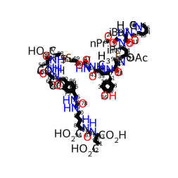 CCCC(=O)OCN(C(=O)[C@@H](NC(=O)[C@H]1CCCCN1C)C(C)CC)C(C[C@@H](OC(C)=O)c1nc(C(=O)N[C@@H](Cc2ccc(O)cc2)C[C@H](C)C(=O)NNC(=O)OCCSSC[C@H](NC(=O)[C@H](CC(=O)O)NC(=O)[C@H](CC(=O)O)NC(=O)Cc2ccc(CNC(=O)NCCCC[C@H](NC(=O)N[C@@H](CCC(=O)O)C(=O)O)C(=O)O)cc2)C(=O)O)cs1)C(C)C